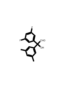 Cc1cc(C)cc(C(O)(C=O)c2cc(F)cc(F)c2)c1